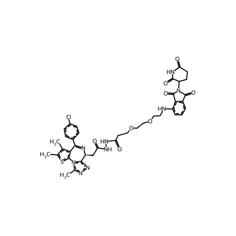 Cc1sc2c(c1C)C(c1ccc(Cl)cc1)=N[C@@H](CC(=O)NNC(=O)CCOCCOCCNc1cccc3c1C(=O)N(C1CCC(=O)NC1=O)C3=O)c1nnc(C)n1-2